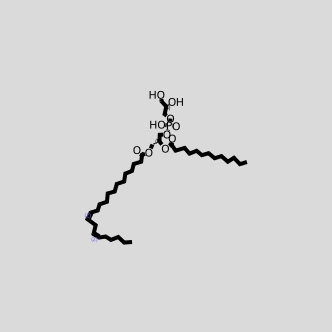 CCCCC/C=C\C/C=C\CCCCCCCCCCCC(=O)OC[C@H](COP(=O)(O)OC[C@@H](O)CO)OC(=O)CCCCCCCCCCCC